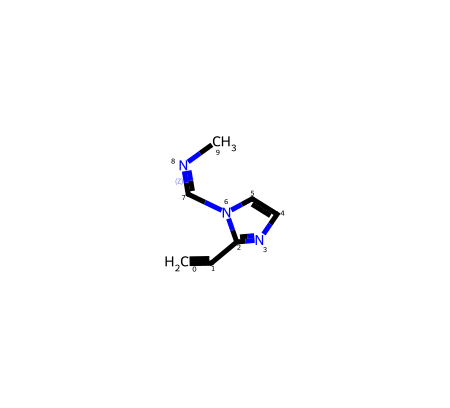 C=Cc1nccn1/C=N\C